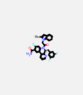 CC(C)(C)c1cc2ccccc2n1CC(=O)N[C@@H](Cc1cc(F)cc(F)c1)c1ncccc1-c1ccc(F)c(C(N)=O)c1